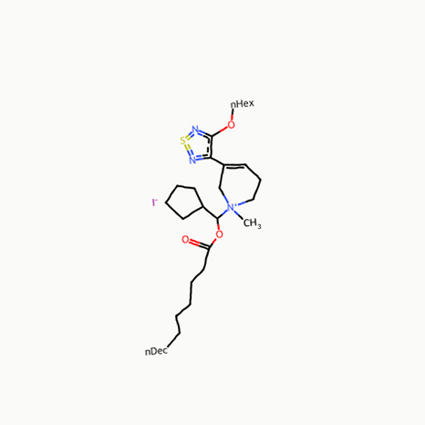 CCCCCCCCCCCCCCCC(=O)OC(C1CCCC1)[N+]1(C)CCC=C(c2nsnc2OCCCCCC)C1.[I-]